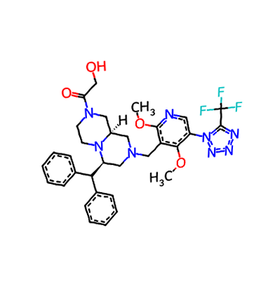 COc1ncc(-n2nnnc2C(F)(F)F)c(OC)c1CN1C[C@@H]2CN(C(=O)CO)CCN2[C@H](C(c2ccccc2)c2ccccc2)C1